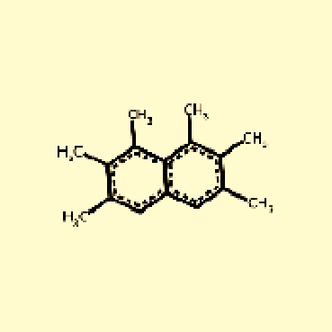 Cc1cc2cc(C)c(C)c(C)c2c(C)c1C